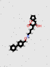 O=C1OC2(CCCC2)CC(O)=C1CCCC=NOCc1ccc(-c2ccccc2)cc1